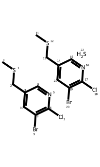 CSCc1cnc(Cl)c(Br)c1.CSCc1cnc(Cl)c(Br)c1.S